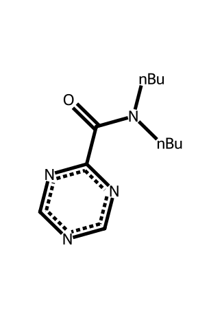 CCCCN(CCCC)C(=O)c1ncncn1